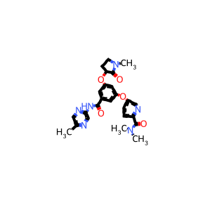 Cc1cnc(NC(=O)c2cc(Oc3ccc(C(=O)N(C)C)nc3)cc(OC3CCN(C)C3=O)c2)cn1